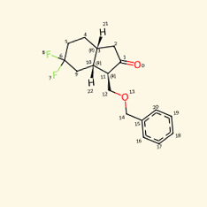 O=C1C[C@H]2CCC(F)(F)C[C@H]2[C@@H]1COCc1ccccc1